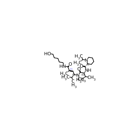 C/C(=C\[C@H](C(C)C)N(C)C(=O)[C@@H](NC(=O)[C@H]1CCCCN1C(C)C)C(C)C)C(=O)NCCCCCO